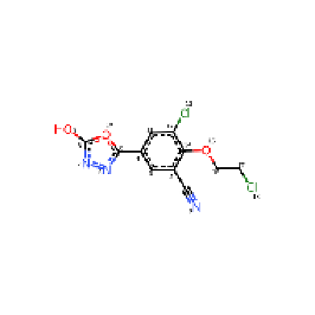 N#Cc1cc(-c2nnc(O)o2)cc(Cl)c1OCCCl